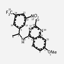 COc1ccc2c(NC(C)c3cc([N+](=O)[O-])cc(C(F)(F)F)c3)nc(C)nc2c1